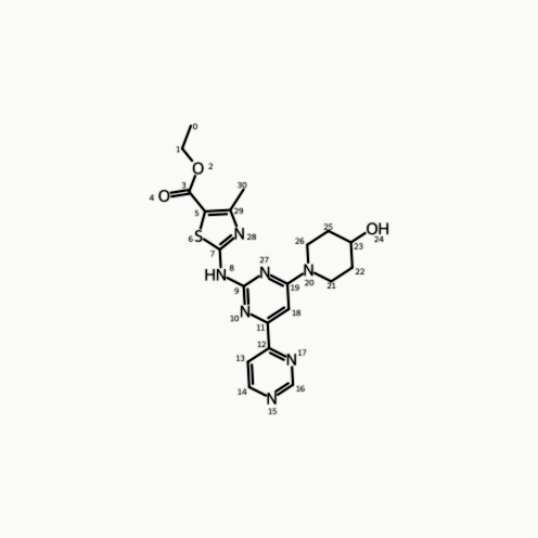 CCOC(=O)c1sc(Nc2nc(-c3ccncn3)cc(N3CCC(O)CC3)n2)nc1C